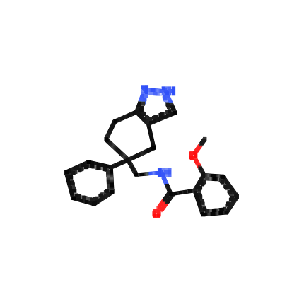 COc1ccccc1C(=O)NCC1(c2ccccc2)CCc2n[nH]cc2C1